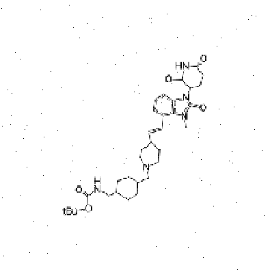 Cn1c(=O)n(C2CCC(=O)NC2=O)c2cccc(C=CC3CCN(CC4CCC(CNC(=O)OC(C)(C)C)CC4)CC3)c21